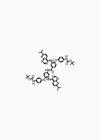 CC(C)c1ccc2c(Nc3cc(NC(=O)c4ccc(Sc5ccc(NC(=O)OC(C)(C)C)cc5)c(Nc5ncnc6nc(C(C)C)ccc56)c4)ccc3Sc3ccc(NC(=O)OC(C)(C)C)cc3)ncnc2n1